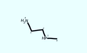 CPCCN